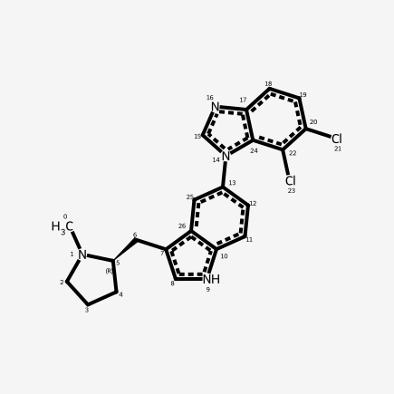 CN1CCC[C@@H]1Cc1c[nH]c2ccc(-n3cnc4ccc(Cl)c(Cl)c43)cc12